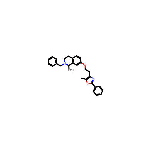 Cc1oc(-c2ccccc2)nc1CCOc1ccc2c(c1)C(C(=O)O)N(Cc1ccccc1)CC2